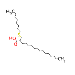 CCCCCCCCCCCCCCC(CSCCCCCCCC)C(=O)O